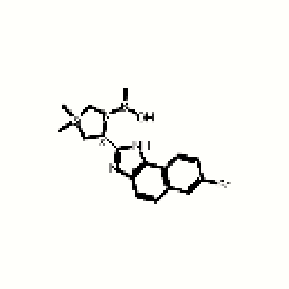 CB(O)N1C[Si](C)(C)C[C@H]1c1nc2ccc3cc(Br)ccc3c2[nH]1